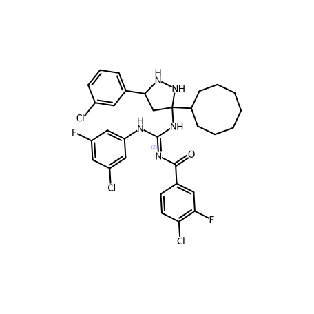 O=C(/N=C(/Nc1cc(F)cc(Cl)c1)NC1(C2CCCCCCC2)CC(c2cccc(Cl)c2)NN1)c1ccc(Cl)c(F)c1